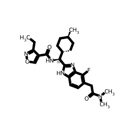 CCc1nocc1C(=O)N[C@H](c1nc2c(F)c(CC(=O)N(C)C)ccc2[nH]1)[C@H]1CC[C@H](C)CC1